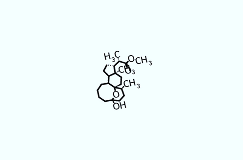 COC(=O)[C@@H](C)[C@H]1CCC2C3CCCC[C@@]4(O)CC[C@H](C)[C@]3(CC[C@@]21C)O4